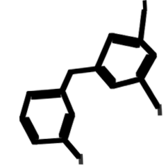 Ic1cccc(Cc2cc(I)cc(I)c2)c1